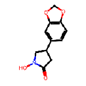 O=C1CC(c2ccc3c(c2)OCO3)CN1O